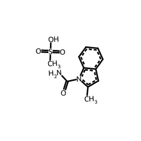 CS(=O)(=O)O.Cc1cc2ccccc2n1C(N)=O